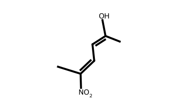 C/C(O)=C\C=C(/C)[N+](=O)[O-]